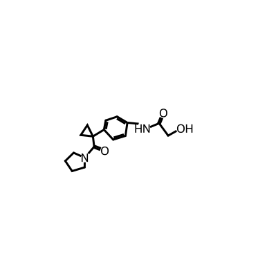 O=C(CO)NCc1ccc(C2(C(=O)N3CCCC3)CC2)cc1